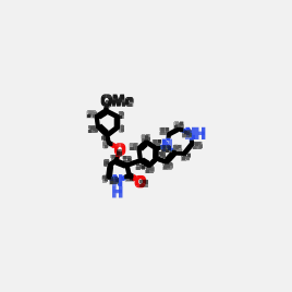 COc1ccc(COc2cc[nH]c(=O)c2-c2ccc3c(c2)cc2n3CCNCC2)cc1